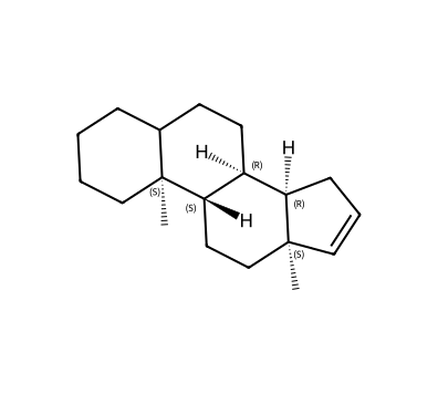 C[C@@]12C=CC[C@@H]1[C@@H]1CCC3CCCC[C@]3(C)[C@H]1CC2